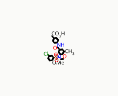 COc1ccc(Cl)cc1S(=O)(=O)N1CCOc2c(C)cc(C(=O)Nc3ccc(CC(=O)O)cc3)cc21